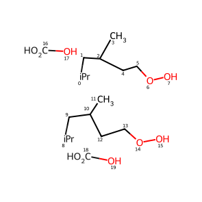 CC(C)CC(C)CCOO.CC(C)CC(C)CCOO.O=C(O)O.O=C(O)O